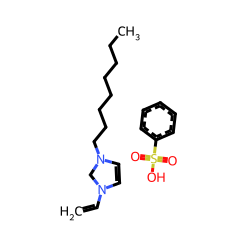 C=CN1C=CN(CCCCCCCC)C1.O=S(=O)(O)c1ccccc1